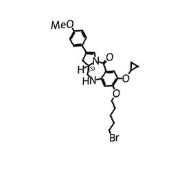 COc1ccc(C2=CN3C(=O)c4cc(OC5CC5)c(OCCCCCBr)cc4NC[C@@H]3C2)cc1